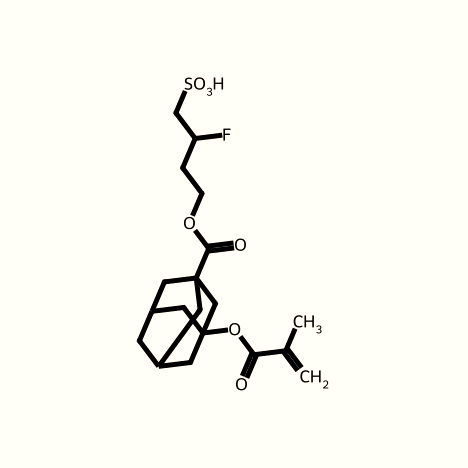 C=C(C)C(=O)OC12CC3CC(C1)CC(C(=O)OCCC(F)CS(=O)(=O)O)(C3)C2